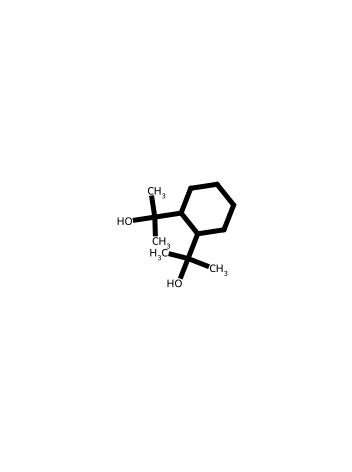 CC(C)(O)C1CCCCC1C(C)(C)O